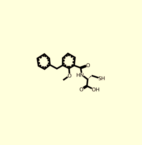 COc1c(Cc2ccccc2)cccc1C(=O)N[C@H](CS)C(=O)O